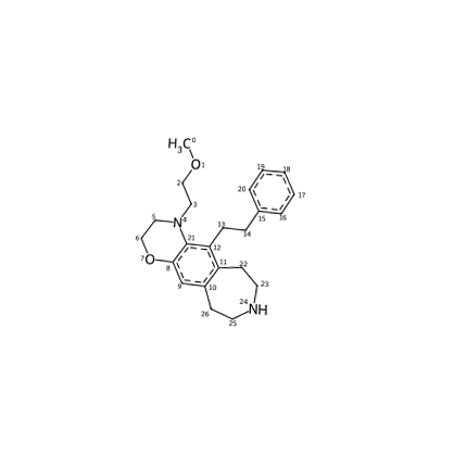 COCCN1CCOc2cc3c(c(CCc4ccccc4)c21)CCNCC3